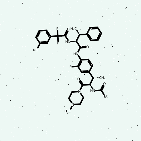 CCC(=O)N[C@@H](C(=O)N1CCN(C)CC1)[C@@H](C)c1ccc(NC(=O)[C@@H](NC(=O)C(F)(F)c2cccc(C#N)c2)[C@@H](C)c2ccccc2)c(F)c1